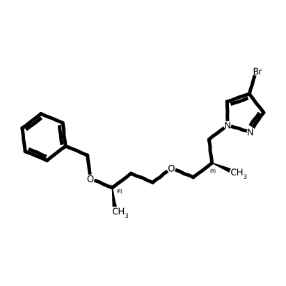 C[C@@H](COCC[C@@H](C)OCc1ccccc1)Cn1cc(Br)cn1